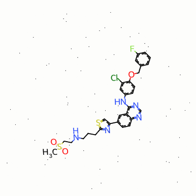 CS(=O)(=O)CCNCCCc1nc(-c2ccc3ncnc(Nc4ccc(OCc5cccc(F)c5)c(Cl)c4)c3c2)cs1